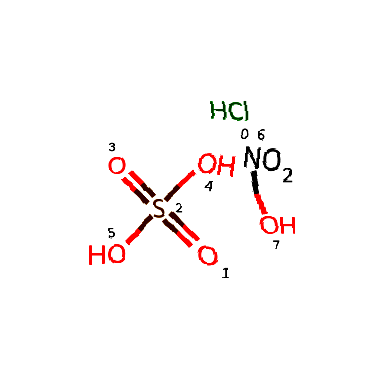 Cl.O=S(=O)(O)O.O=[N+]([O-])O